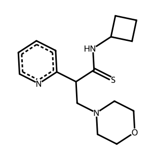 S=C(NC1CCC1)C(CN1CCOCC1)c1ccccn1